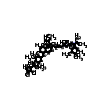 C=CC(=N)C(=C)C1(CC)C(C/C=C/C/C(C)=C/C(C)(C)/C=C(/C(=C)C)C(CC)CC(C)CC)C=CC2C(CC3CC(C)C(NC(=C)c4[nH]cc(Cl)c4Cl)C(C)C3)C(C)CCC21